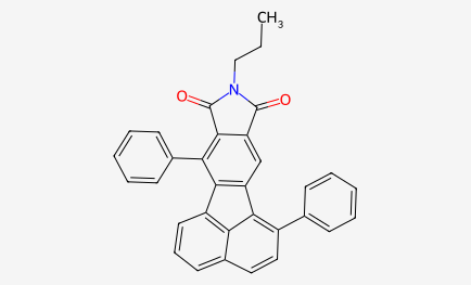 CCCN1C(=O)c2cc3c(c(-c4ccccc4)c2C1=O)-c1cccc2ccc(-c4ccccc4)c-3c12